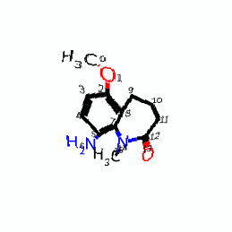 COc1ccc(N)c2c1CCCC(=O)N2C